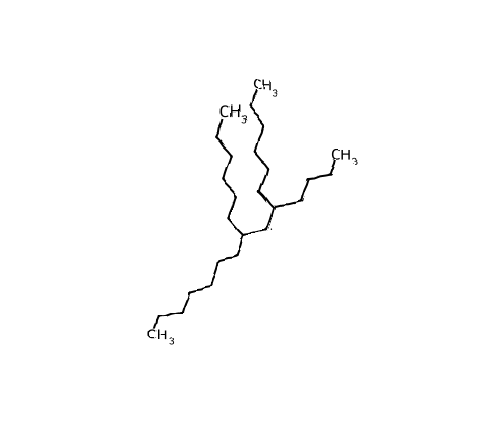 CCCCCCCC([CH]C(CCCC)CCCCCC)CCCCCC